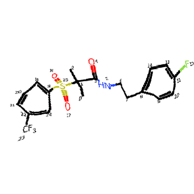 CC(C)(C(=O)NCCc1ccc(F)cc1)S(=O)(=O)c1cccc(C(F)(F)F)c1